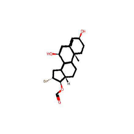 C[C@]12CC[C@H](O)C=C1C[C@H](O)C1C3C[C@@H](Br)[C@H](OC=O)[C@H]3CCC12